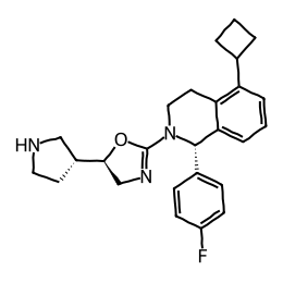 Fc1ccc([C@H]2c3cccc(C4CCC4)c3CCN2C2=NC[C@@H]([C@@H]3CCNC3)O2)cc1